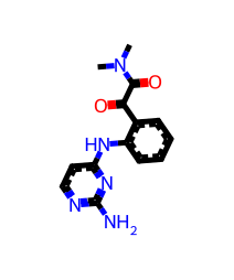 CN(C)C(=O)C(=O)c1ccccc1Nc1ccnc(N)n1